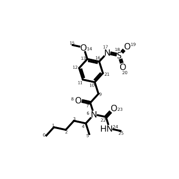 CCCCC(C)N(C(=O)Cc1ccc(OC)c(N=S(=O)=O)c1)C(=O)NC